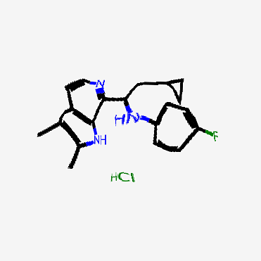 Cc1[nH]c2c(C(CC3CC3)Nc3ccc(F)cc3)nccc2c1C.Cl